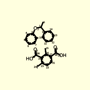 CC(Oc1ccccc1)c1ccccc1.Cc1c(C(=O)O)ccc(I)c1C(=O)O